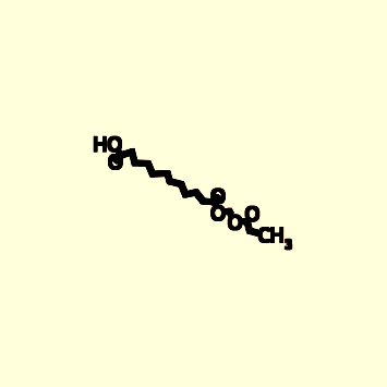 CCC(=O)OCOC(=O)CCCCCCCCCCC(=O)O